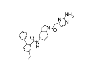 CCc1ccc(-c2ccccc2)c(C(=O)Nc2ccc3c(c2)CCN3C(=O)Cc2ccnc(N)n2)c1